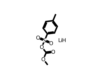 COC(=O)OS(=O)(=O)c1ccc(C)cc1.[LiH]